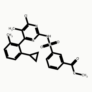 COC(=O)c1cccc(S(=O)(=O)Nc2nc(Cl)c(C)c(-c3c(C)cccc3C3CC3)n2)c1